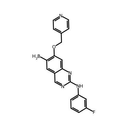 Bc1cc2cnc(Nc3cccc(F)c3)nc2cc1OCc1ccncc1